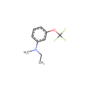 [CH2]CN(C)c1cccc(OC(F)(F)F)c1